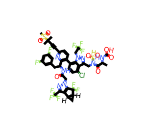 CC(NC(=O)O)C(=O)N(Cc1nn(CC(F)(F)F)c2c(-c3ccc(C#CC(C)(C)S(C)(=O)=O)nc3C(Cc3cc(F)cc(F)c3)NC(=O)Cn3nc(C(F)(F)F)c4c3C(F)(F)[C@@H]3C[C@H]43)ccc(Cl)c12)[SH](=O)=O